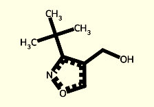 CC(C)(C)c1nocc1CO